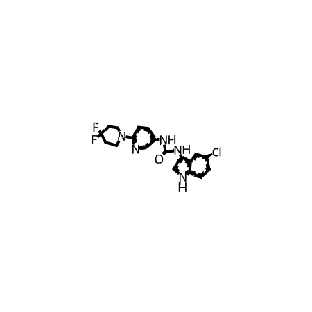 O=C(Nc1ccc(N2CCC(F)(F)CC2)nc1)Nc1c[nH]c2ccc(Cl)cc12